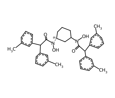 Cc1cccc(C(C(=O)N(O)C2CCC[C@@H](N(O)C(=O)C(c3cccc(C)c3)c3cccc(C)c3)C2)c2cccc(C)c2)c1